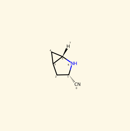 N#C[C@@H]1CC2C[C@@H]2N1